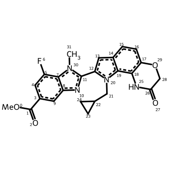 COC(=O)c1cc(F)c2c(c1)nc(-c1cc3ccc4c(c3n1CC1CC1)NC(=O)CO4)n2C